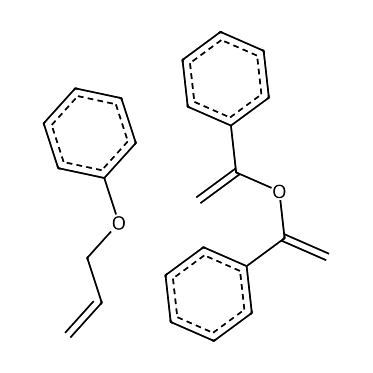 C=C(OC(=C)c1ccccc1)c1ccccc1.C=CCOc1ccccc1